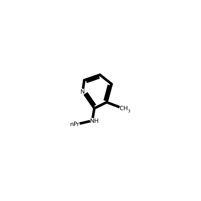 CCCNc1ncccc1C